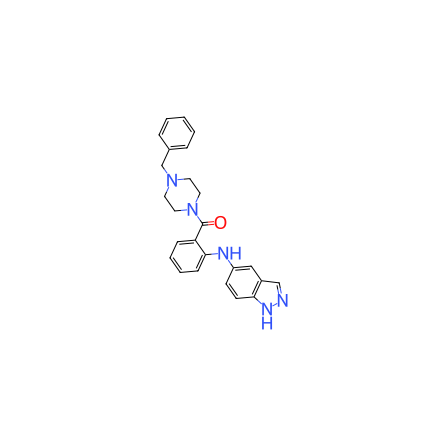 O=C(c1ccccc1Nc1ccc2[nH]ncc2c1)N1CCN(Cc2ccccc2)CC1